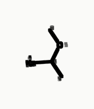 CO[CH](C)[Na]